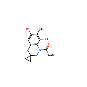 COC(=O)N1CC2(CC2)Cc2cc(O)c(C)c(C)c21